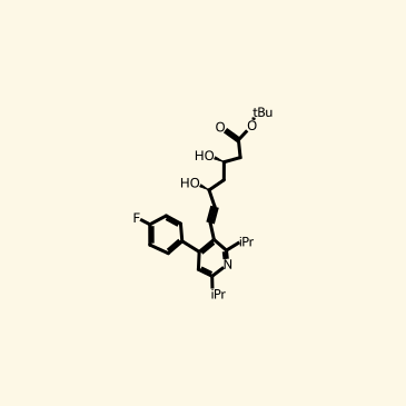 CC(C)c1cc(-c2ccc(F)cc2)c(C#C[C@@H](O)C[C@@H](O)CC(=O)OC(C)(C)C)c(C(C)C)n1